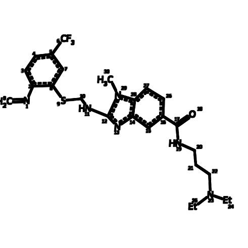 C=Nc1ccc(C(F)(F)F)cc1SCNc1nc2cc(C(=O)NCCCN(CC)CC)ccc2n1C